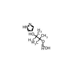 CC(C)(O)C(C)(C)OBO.c1cn[nH]c1